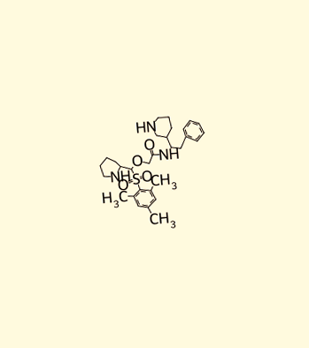 Cc1cc(C)c(S(=O)(=O)C(OCC(=O)NC(Cc2ccccc2)C2CCCNC2)C2CCCCN2)c(C)c1